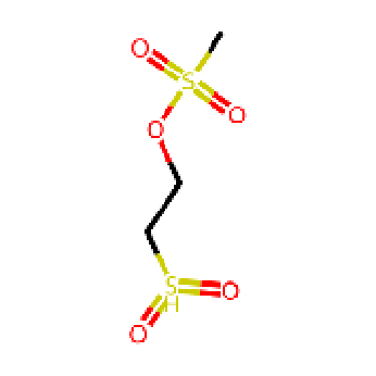 CS(=O)(=O)OCC[SH](=O)=O